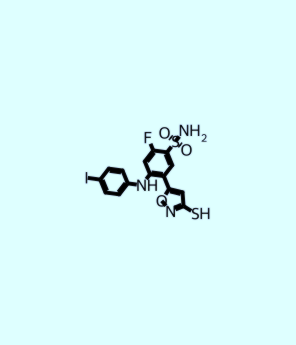 NS(=O)(=O)c1cc(-c2cc(S)no2)c(Nc2ccc(I)cc2)cc1F